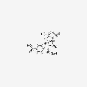 CC1(C)S[C@@H]2[C@@H](C(O)c3ccc(C(=O)O)cc3)C(=O)N2[C@H]1C#N.[NaH]